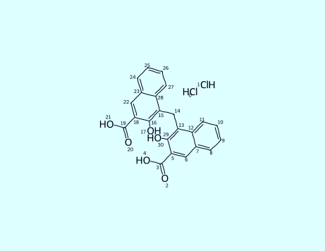 Cl.Cl.O=C(O)c1cc2ccccc2c(Cc2c(O)c(C(=O)O)cc3ccccc23)c1O